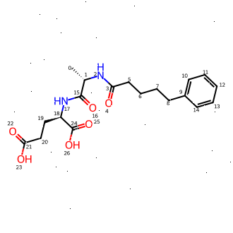 C[C@H](NC(=O)CCCCc1ccccc1)C(=O)N[C@H](CCC(=O)O)C(=O)O